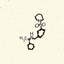 C[C@H](NCc1cccc(S(=O)(=O)N2CCCCC2)c1)c1ccccc1